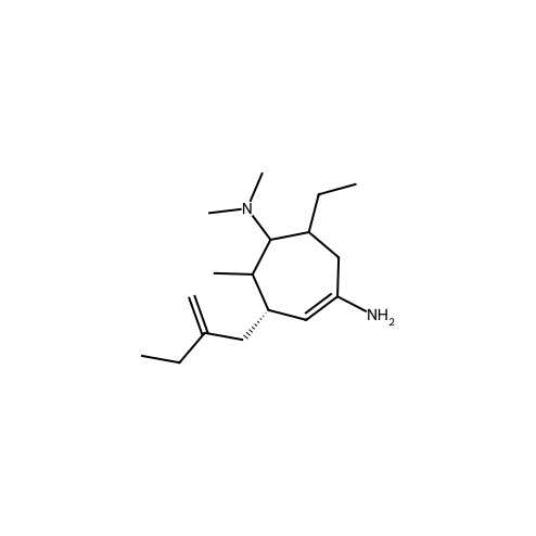 C=C(CC)C[C@H]1C=C(N)CC(CC)C(N(C)C)C1C